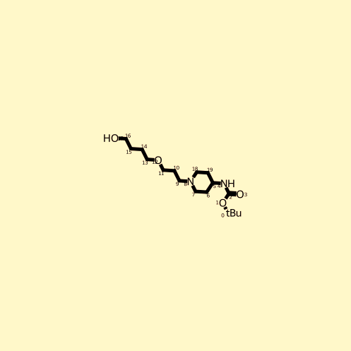 CC(C)(C)OC(=O)NC1CCN(CCCOCCCCO)CC1